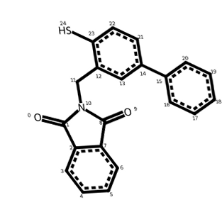 O=C1c2ccccc2C(=O)N1Cc1cc(-c2ccccc2)ccc1S